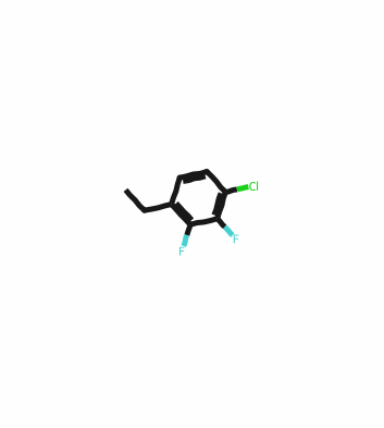 CCc1ccc(Cl)c(F)c1F